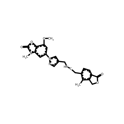 COc1cc(-n2cc(CNCCc3ccc4c(c3C)COC4=O)cn2)cc2c1oc(=O)n2C